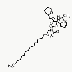 CCCCCCCCCCCCCCCCCN(C(C)=O)C(=O)OC(N)(C(=O)OCC1CCCCO1)c1cccc[n+]1CC